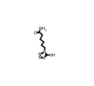 NC(=O)CCCCCn1nnnc1S